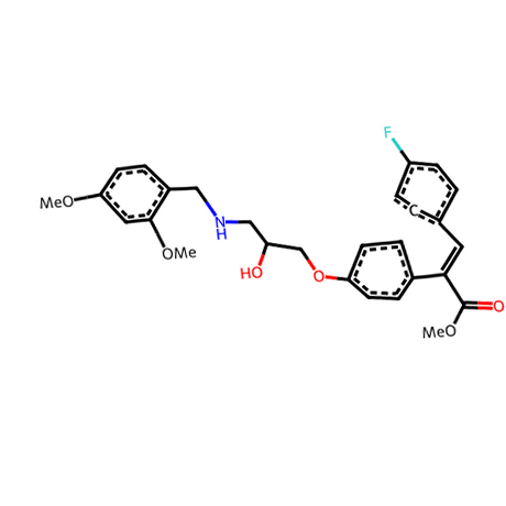 COC(=O)C(=Cc1ccc(F)cc1)c1ccc(OCC(O)CNCc2ccc(OC)cc2OC)cc1